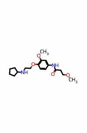 COCCC(=O)Nc1ccc(OCCNC2CCCC2)c(OC)c1